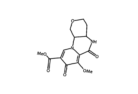 COC(=O)c1cn2c(c(OC)c1=O)C(=O)NC1CCOCC12